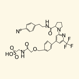 N#Cc1ccc(CCNC(=O)C2CCCN2c2cc(-c3ccc(COCC(=O)NCS(=O)(=O)O)cc3)cc(C(F)(F)F)n2)cc1